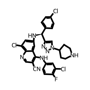 N#Cc1cnc2c(Cl)cc(N[C@@H](c3ccc(Cl)cc3)c3cn(C4CCNCC4)nn3)cc2c1Nc1ccc(F)c(Cl)c1